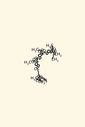 CCCCN(C)C(=O)c1cc2c3c(ccc2n1C(=O)OCC)N(C(=O)c1cc2c4c(ccc2n1C(=O)OCC)N(C(=O)c1cc2c5c(ccc2n1C(=O)OCC)N(C(=O)CCCCCOP(OCCC#N)N(C(C)C)C(C)C)CC5)CC4)CC3